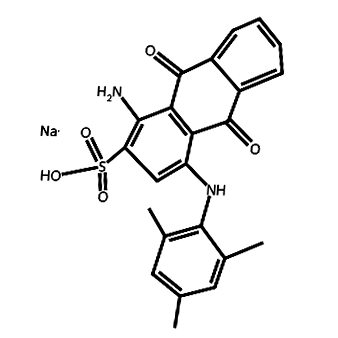 Cc1cc(C)c(Nc2cc(S(=O)(=O)O)c(N)c3c2C(=O)c2ccccc2C3=O)c(C)c1.[Na]